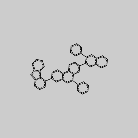 c1ccc(-c2cc3ccccc3cc2-c2ccc3c(c2)c(-c2ccccc2)cc2cc(-c4cccc5sc6ccccc6c45)ccc23)cc1